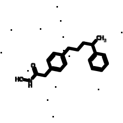 CC(CCCc1ccc(CC(=O)NO)cc1)c1ccccc1